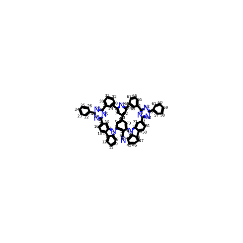 Cc1cc(-c2cc(-n3c4ccccc4c4ccc(-c5nc(-c6ccccc6)nc(-c6ccccc6)n5)cc43)c(C#N)c(-n3c4ccccc4c4ccc(-c5nc(-c6ccccc6)nc(-c6ccccc6)n5)cc43)c2)cc(C)n1